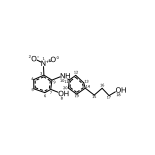 O=[N+]([O-])c1cccc(O)c1Nc1ccc(CCCO)cc1